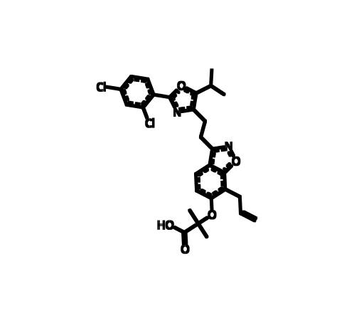 C=CCc1c(OC(C)(C)C(=O)O)ccc2c(CCc3nc(-c4ccc(Cl)cc4Cl)oc3C(C)C)noc12